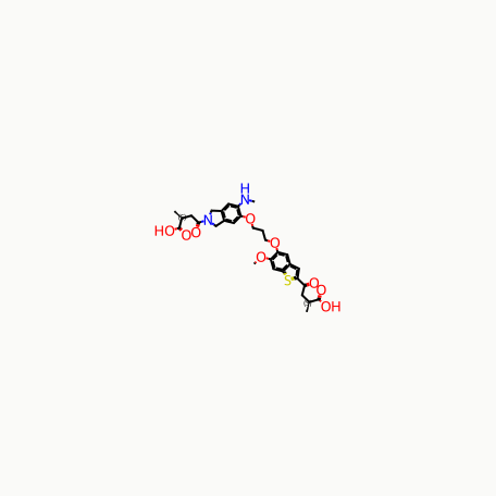 CNc1cc2c(cc1OCCCOc1cc3cc(C(=O)C[C@H](C)C(=O)O)sc3cc1OC)CN(C(=O)C[C@H](C)C(=O)O)C2